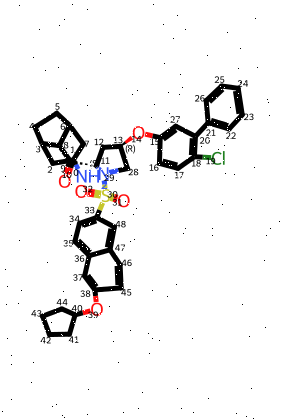 NC1CC2CCC(C1)C2C(=O)[C@@H]1C[C@@H](Oc2ccc(Cl)c(-c3ccccc3)c2)CN1S(=O)(=O)c1ccc2cc(OC3CCCC3)ccc2c1